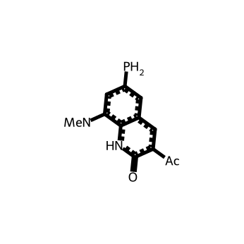 CNc1cc(P)cc2cc(C(C)=O)c(=O)[nH]c12